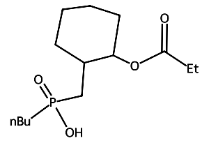 CCCCP(=O)(O)CC1CCCCC1OC(=O)CC